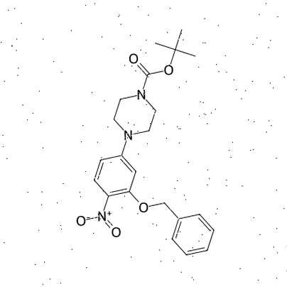 CC(C)(C)OC(=O)N1CCN(c2ccc([N+](=O)[O-])c(OCc3ccccc3)c2)CC1